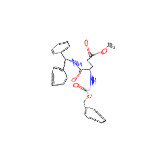 CC(C)(C)OC(=O)CCC(NC(=O)OCc1ccccc1)C(=O)NC(c1ccccc1)c1ccccc1